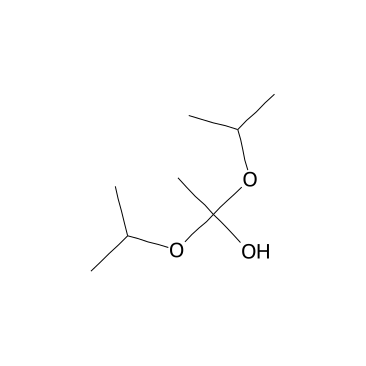 CC(C)OC(C)(O)OC(C)C